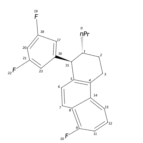 CCC[C@@H]1CCc2c(ccc3c(F)cccc23)[C@H]1c1cc(F)cc(F)c1